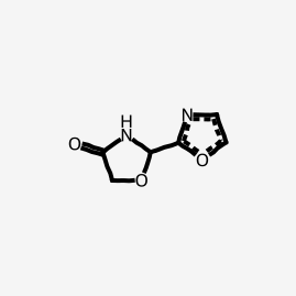 O=C1CO[C](c2ncco2)N1